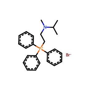 CC(C)N(C)CC[P+](c1ccccc1)(c1ccccc1)c1ccccc1.[Br-]